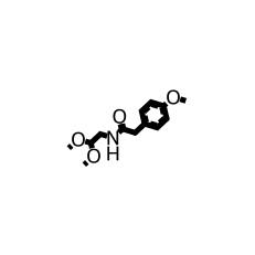 COc1ccc(CC(=O)NCC(OC)OC)cc1